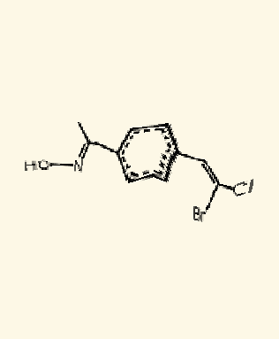 CC(=NO)c1ccc(C=C(Cl)Br)cc1